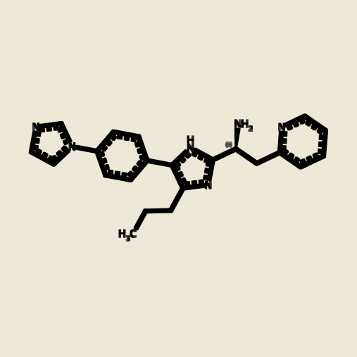 CCCc1nc([C@@H](N)Cc2ccccn2)[nH]c1-c1ccc(-n2ccnc2)cc1